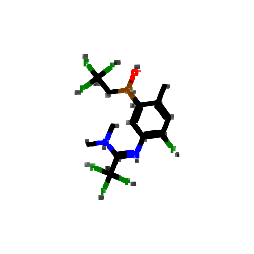 Cc1cc(F)c(/N=C(\N(C)C)C(F)(F)F)cc1[S+]([O-])CC(F)(F)F